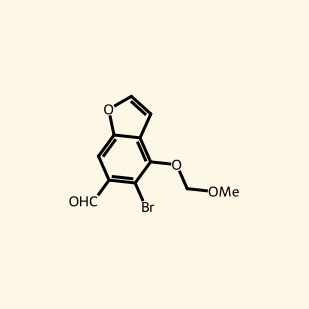 COCOc1c(Br)c(C=O)cc2occc12